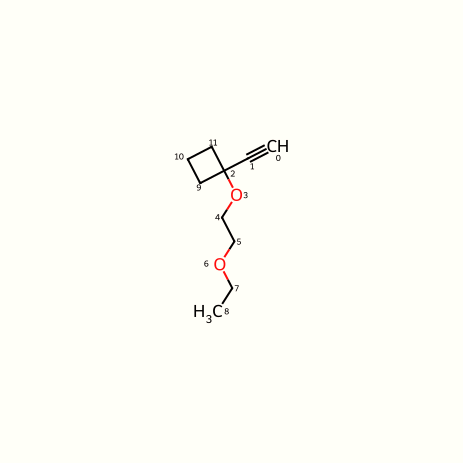 C#CC1(OCCOCC)CCC1